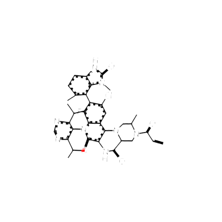 C=CC(=O)N1CC2C(=O)Nc3c(c4cc(Cl)c(-c5c(C)ccc6[nH]c(=O)n(C)c56)c(F)c4n(-c4c(C(C)C)ncnc4C(C)C)c3=O)N2CC1C